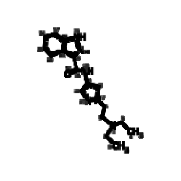 CCN(CC)CCn1cc(NC(=O)c2n[nH]c3ccccc23)cn1